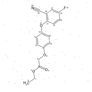 CCOC(=O)COc1ccc(Oc2c[c]c(F)cc2C#N)cc1